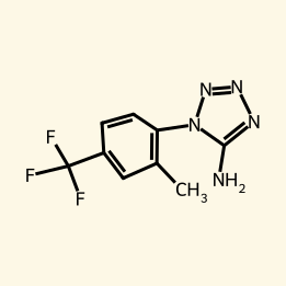 Cc1cc(C(F)(F)F)ccc1-n1nnnc1N